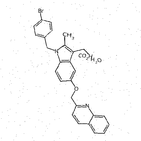 Cc1c(CC(=O)O)c2cc(OCc3ccc4ccccc4n3)ccc2n1Cc1ccc(Br)cc1.O